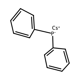 [Cs+].c1ccc([P-]c2ccccc2)cc1